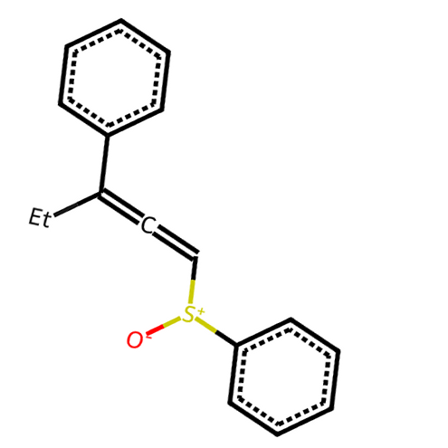 CCC(=C=C[S+]([O-])c1ccccc1)c1ccccc1